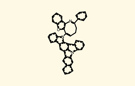 C1=C(/n2c3ccccc3c3cc4c5cc6ccccc6cc5n5c6ccccc6c(c32)c45)c2oc3ccccc3c2/N=C(/c2ccccc2)CC/1